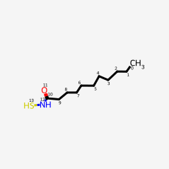 CCCCCCCCCCC(=O)NS